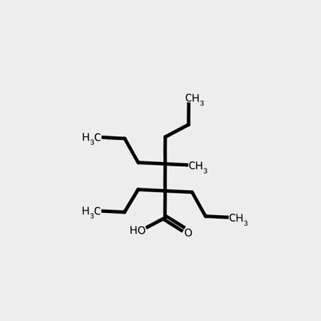 CCCC(C)(CCC)C(CCC)(CCC)C(=O)O